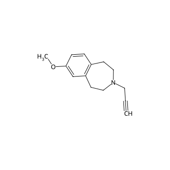 C#CCN1CCc2ccc(OC)cc2CC1